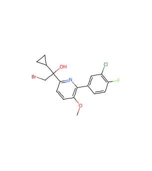 COc1ccc(C(O)(CBr)C2CC2)nc1-c1ccc(F)c(Cl)c1